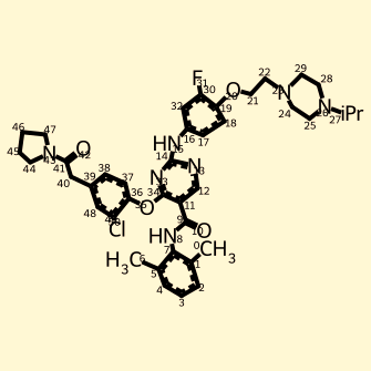 Cc1cccc(C)c1NC(=O)c1cnc(Nc2ccc(OCCN3CCN(C(C)C)CC3)c(F)c2)nc1Oc1ccc(CC(=O)N2CCCC2)cc1Cl